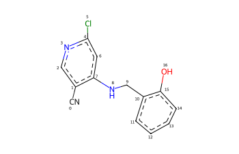 N#Cc1cnc(Cl)cc1NCc1ccccc1O